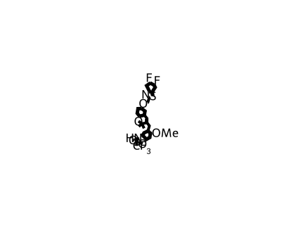 COc1ccc(NS(=O)(=O)C(F)(F)F)cc1CC1=Cc2cc(OCc3nc4cc(F)c(F)cc4s3)ccc2OC1(C)C